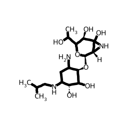 CC(C)CNC1CC(N)[C@@H](O[C@H]2OC(C(C)O)[C@@H](O)C3(O)N[C@H]23)C(O)[C@@H]1O